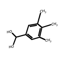 Cc1cc(C(O)O)cc(C)c1C